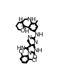 Cc1cc(Nc2ncc3c(=N)n(-c4c(Cl)cccc4Cl)c(=O)[nH]c3n2)cc2c1NC[C@H]1CCCO[C@@H]21